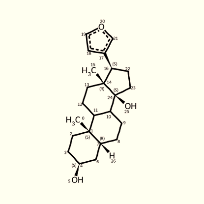 C[C@]12CC[C@H](O)C[C@H]1CCC1C2CC[C@]2(C)[C@@H](c3ccoc3)CC[C@]12O